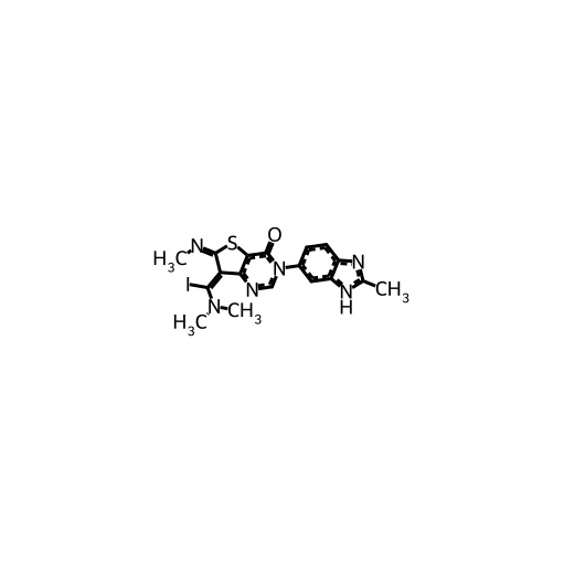 C/N=C1/Sc2c(ncn(-c3ccc4nc(C)[nH]c4c3)c2=O)/C1=C(/I)N(C)C